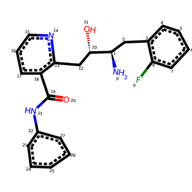 N[C@H](Cc1ccccc1F)[C@@H](O)Cc1ncccc1C(=O)Nc1ccccc1